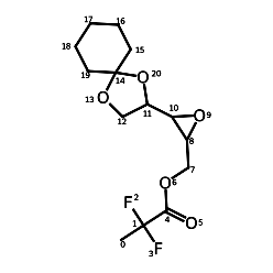 CC(F)(F)C(=O)OCC1OC1C1COC2(CCCCC2)O1